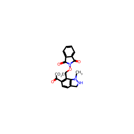 CCOC(=O)C(=O)c1ccc2c(c1CON1C(=O)c3ccccc3C1=O)N(C)NC2